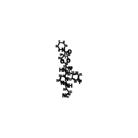 CC1(C(=O)N2CCCCC2)COC(c2nc(-c3ccc(F)cc3)c(-c3ccnc(NCCC#N)n3)[nH]2)OC1